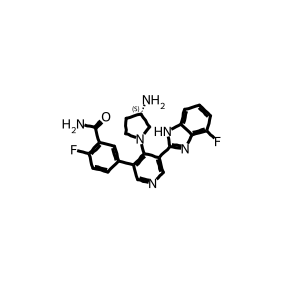 NC(=O)c1cc(-c2cncc(-c3nc4c(F)cccc4[nH]3)c2N2CC[C@H](N)C2)ccc1F